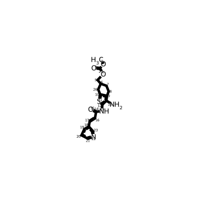 COC(=O)OCC1CCc2c(sc(NC(=O)/C=C/c3cccnc3)c2N)C1